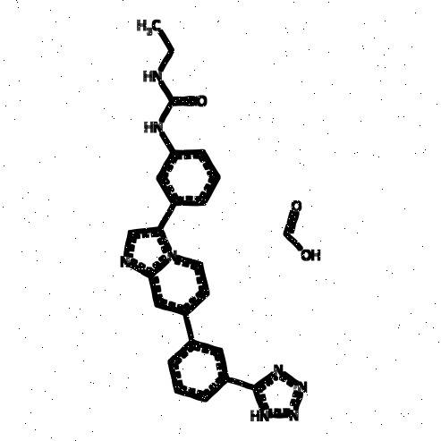 CCNC(=O)Nc1cccc(-c2cnc3cc(-c4cccc(-c5nnn[nH]5)c4)ccn23)c1.O=CO